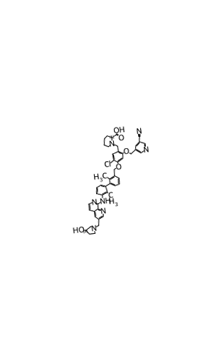 Cc1c(COc2cc(OCc3cncc(C#N)c3)c(CN3CCCC[C@H]3C(=O)O)cc2Cl)cccc1-c1cccc(Nc2nccc3cc(CN4CC[C@@H](O)C4)cnc23)c1C